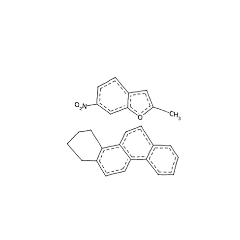 Cc1cc2ccc([N+](=O)[O-])cc2o1.c1ccc2c(c1)ccc1c3c(ccc12)CCCC3